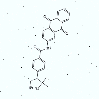 CCC(C)(C)C(CC(C)C)c1ccc(C(=O)Nc2ccc3c(c2)C(=O)c2ccccc2C3=O)cc1